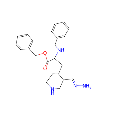 NN=CC1CNCCC1CC(NCc1ccccc1)C(=O)OCc1ccccc1